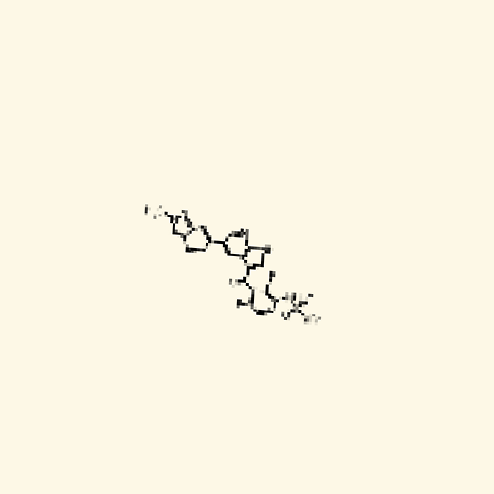 CCCS(=O)(=O)Nc1ccc(F)c(C(=O)c2c[nH]c3ncc(-c4ccc5cn(C)nc5c4)cc23)c1F